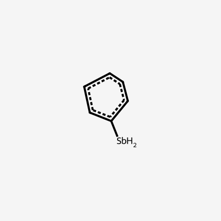 [SbH2][c]1ccccc1